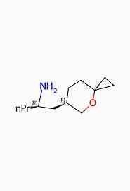 CCC[C@@H](N)C[C@H]1CCC2(CC2)OC1